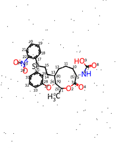 C[C@@H]1OC(=O)[C@@H](NC(=O)O)CCC[C@H](CC[Se]c2ccccc2[N+](=O)[O-])[C@H]1Oc1ccccc1